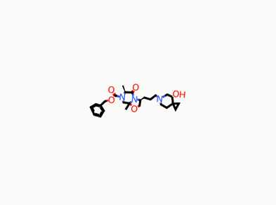 C[C@H]1C(=O)N2[C@@H](CCCN3CCC4(CC4)C(O)C3)COC2(C)CN1C(=O)OCc1ccccc1